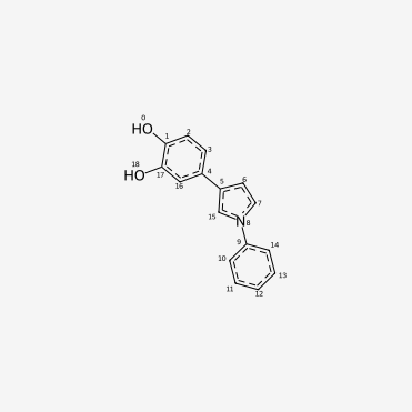 Oc1ccc(-c2ccn(-c3ccccc3)c2)cc1O